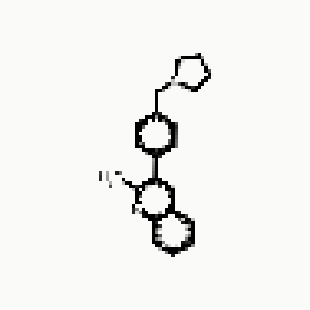 Cc1nc2ccccc2cc1-c1ccc(CN2CCCC2)cc1